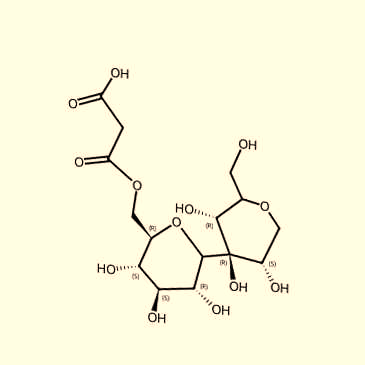 O=C(O)CC(=O)OC[C@H]1OC([C@]2(O)[C@H](O)[C](CO)OC[C@@H]2O)[C@H](O)[C@@H](O)[C@@H]1O